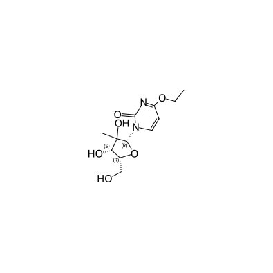 CCOc1ccn([C@@H]2O[C@H](CO)[C@H](O)C2(C)O)c(=O)n1